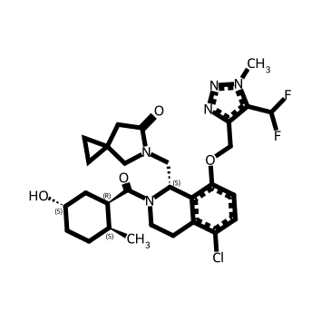 C[C@H]1CC[C@H](O)C[C@H]1C(=O)N1CCc2c(Cl)ccc(OCc3nnn(C)c3C(F)F)c2[C@H]1CN1CC2(CC2)CC1=O